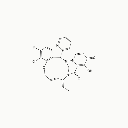 CC[C@H]1/C=C/COc2c(ccc(F)c2Cl)[C@H](c2ccccn2)N2CN1C(=O)c1c(O)c(=O)ccn12